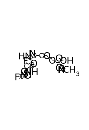 Cc1cc(C(CCOCCOc2ccc(-c3cnc4[nH]cc(C(=O)c5c(F)ccc(NS(=O)(=O)N6CC[C@@H](F)C6)c5F)c4c3)cc2)C(=O)O)on1